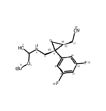 CC(C)(C)OC(O)NC[C@@]1(c2cc(F)cc(F)c2)C[C@H]1CC#N